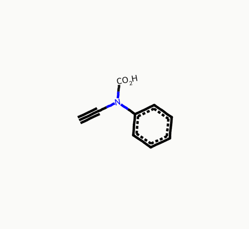 C#CN(C(=O)O)c1ccccc1